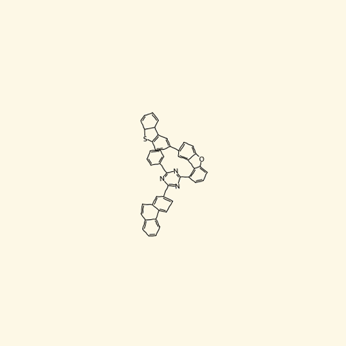 C1=CC2Sc3ccc(-c4ccc5oc6cccc(-c7nc(-c8ccccc8)nc(-c8ccc9c(ccc%10ccccc%109)c8)n7)c6c5c4)cc3C2C=C1